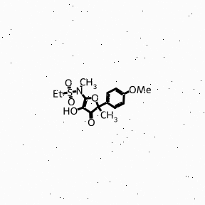 CCS(=O)(=O)N(C)C1=C(O)C(=O)C(C)(c2ccc(OC)cc2)O1